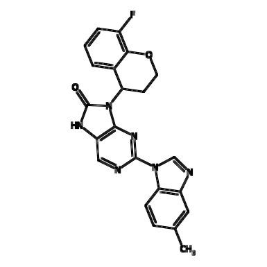 Cc1ccc2c(c1)ncn2-c1ncc2[nH]c(=O)n(C3CCOc4c(F)cccc43)c2n1